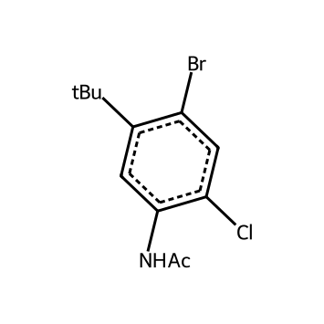 CC(=O)Nc1cc(C(C)(C)C)c(Br)cc1Cl